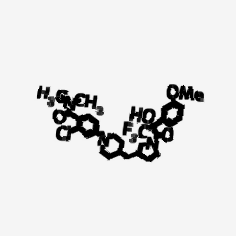 COc1cccc(C(O)(C(=O)N2CCC(CC3CCN(c4ccc(C(=O)N(C)C)c(Cl)c4)CC3)C2)C(F)(F)F)c1